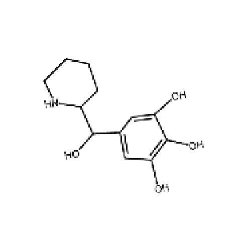 Oc1cc(C(O)C2CCCCN2)cc(O)c1O